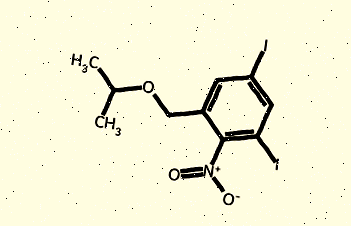 CC(C)OCc1cc(I)cc(I)c1[N+](=O)[O-]